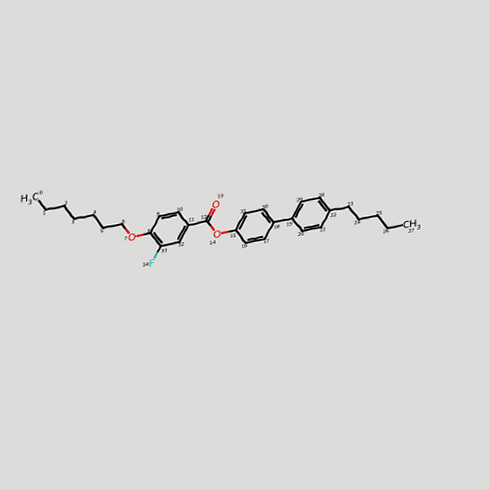 CCCCCCCOc1ccc(C(=O)Oc2ccc(-c3ccc(CCCCC)cc3)cc2)cc1F